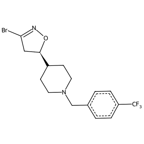 FC(F)(F)c1ccc(CN2CCC([C@H]3CC(Br)=NO3)CC2)cc1